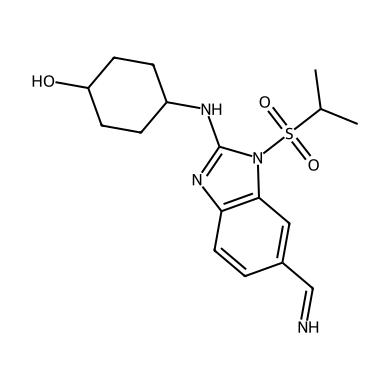 CC(C)S(=O)(=O)n1c(NC2CCC(O)CC2)nc2ccc(C=N)cc21